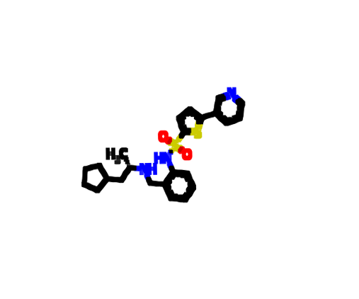 C[C@@H](CC1CCCC1)NCc1ccccc1NS(=O)(=O)c1ccc(-c2cccnc2)s1